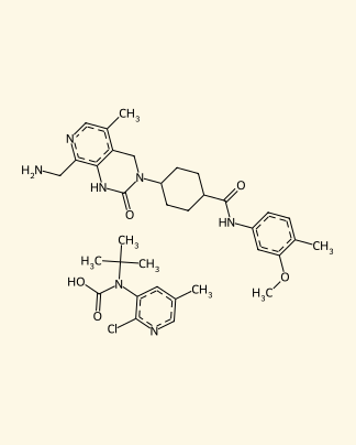 COc1cc(NC(=O)C2CCC(N3Cc4c(C)cnc(CN)c4NC3=O)CC2)ccc1C.Cc1cnc(Cl)c(N(C(=O)O)C(C)(C)C)c1